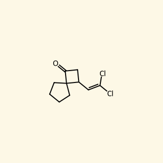 O=C1CC(C=C(Cl)Cl)C12CCCC2